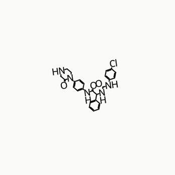 O=C(Nc1ccc(Cl)cc1)NC(C(=O)Nc1ccc(N2CCNCC2=O)cc1)c1ccccc1